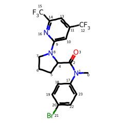 CN(C(=O)C1CCCN1c1cc(C(F)(F)F)cc(C(F)(F)F)n1)c1ccc(Br)cc1